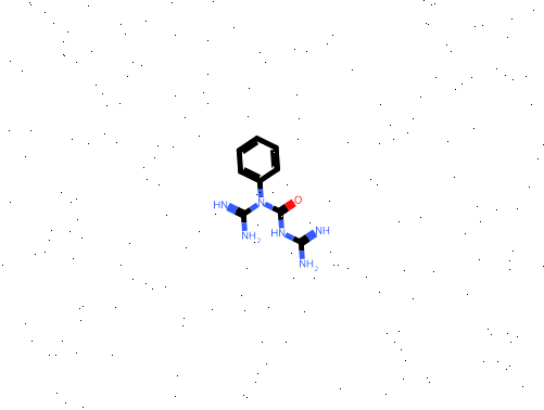 N=C(N)NC(=O)N(C(=N)N)c1ccccc1